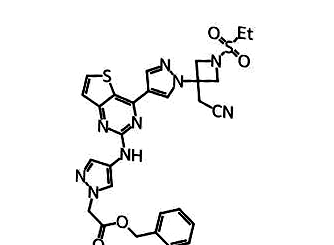 CCS(=O)(=O)N1CC(CC#N)(n2cc(-c3nc(Nc4cnn(CC(=O)OCc5ccccc5)c4)nc4ccsc34)cn2)C1